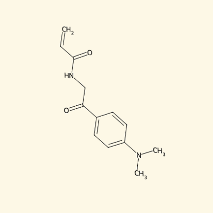 C=CC(=O)NCC(=O)c1ccc(N(C)C)cc1